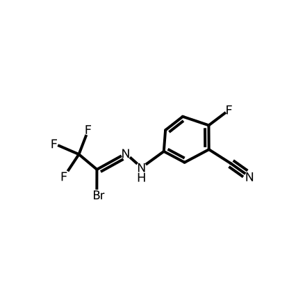 N#Cc1cc(NN=C(Br)C(F)(F)F)ccc1F